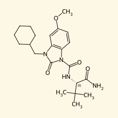 COc1ccc2c(c1)n(CC1CCCCC1)c(=O)n2C(=O)N[C@H](C(N)=O)C(C)(C)C